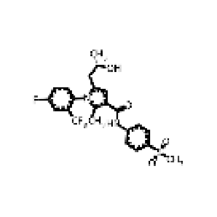 Cc1c(C(=O)Nc2ccc(S(C)(=O)=O)cc2)cc(C[C@H](C)O)n1-c1ccc(F)cc1C(F)(F)F